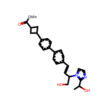 COC(=O)C1CC(c2ccc(-c3ccc(/C=C/C(CO)n4ccnc4C(C)O)cc3)cc2)C1